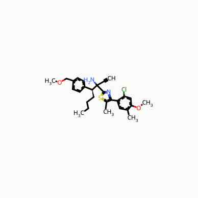 C#CC(N)(c1nc(-c2cc(C)c(OC)cc2Cl)c(C)s1)[C@@H](CCCC)c1ccc(COC)cc1